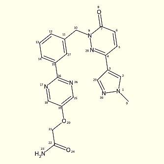 Cn1cc(-c2ccc(=O)n(Cc3cccc(-c4ncc(OCC(N)=O)cn4)c3)n2)cn1